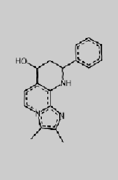 Cc1nc2c3c(ccn2c1C)C(O)CC(c1ccccc1)N3